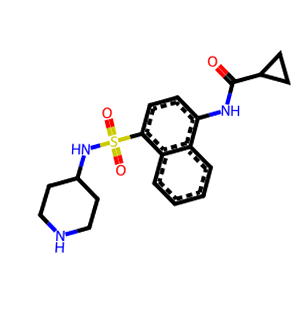 O=C(Nc1ccc(S(=O)(=O)NC2CCNCC2)c2ccccc12)C1CC1